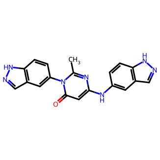 Cc1nc(Nc2ccc3[nH]ncc3c2)cc(=O)n1-c1ccc2[nH]ncc2c1